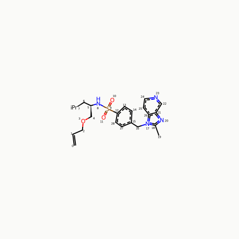 C=CCOC[C@@H](CC(C)C)NS(=O)(=O)c1ccc(Cn2c(C)nc3cnccc32)cc1